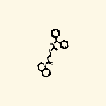 O=C(CCNC(=S)NC(c1ccccc1)c1ccccc1)N1CCCC2CCCCC21